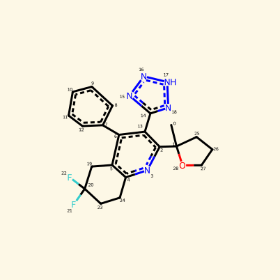 CC1(c2nc3c(c(-c4ccccc4)c2-c2nn[nH]n2)CC(F)(F)CC3)CCCO1